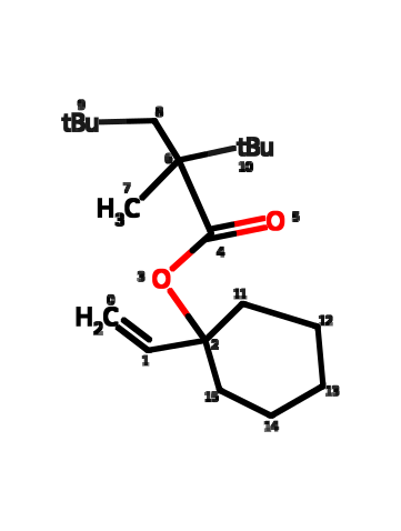 C=CC1(OC(=O)C(C)(CC(C)(C)C)C(C)(C)C)CCCCC1